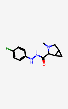 CN1CC2CC2C1C(=O)NNc1ccc(F)cc1